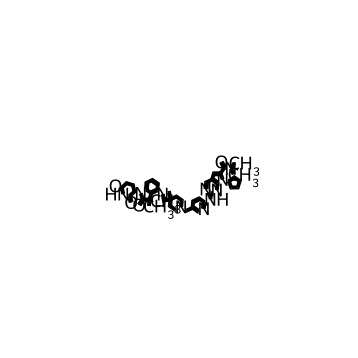 CN(C)C(=O)c1cc2cnc(Nc3ccc(CN4CCC5(CC4)CN(c4cccc6c4C(C)(C)C(=O)N6[C@@H]4CCC(=O)NC4=O)C5)cn3)nc2n1C1CCCC1